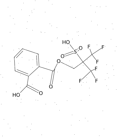 O=C(O)c1ccccc1C(=O)OCC(C(F)(F)F)(C(F)(F)F)S(=O)(=O)O